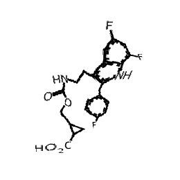 O=C(NCCc1c(-c2ccc(F)cc2)[nH]c2c(F)cc(F)cc12)OCC1CC1C(=O)O